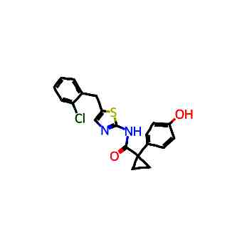 O=C(Nc1ncc(Cc2ccccc2Cl)s1)C1(c2ccc(O)cc2)CC1